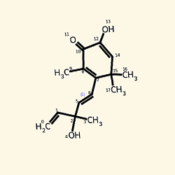 C=CC(C)(O)/C=C/C1=C(C)C(=O)C(O)=CC1(C)C